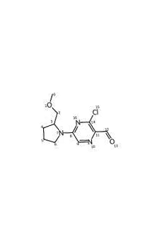 COCC1CCCN1c1cnc(C=O)c(Cl)n1